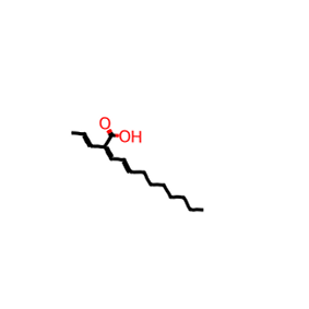 CC=CC(=CC=CCCCCCCC)C(=O)O